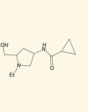 CCN1CC(NC(=O)C2CC2)CC1CO